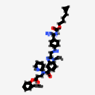 COc1ccccc1OC(=O)CCN(C(=O)c1ccc2c(c1)nc(CNc1ccc(/C(N)=N/C(=O)OCCCCC3CC3)cc1)n2C)c1ccccn1